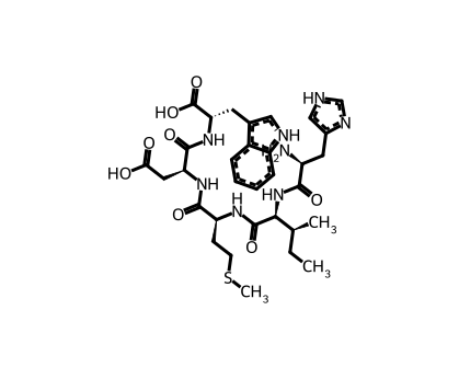 CC[C@H](C)[C@H](NC(=O)[C@@H](N)Cc1c[nH]cn1)C(=O)N[C@@H](CCSC)C(=O)N[C@@H](CC(=O)O)C(=O)N[C@@H](Cc1c[nH]c2ccccc12)C(=O)O